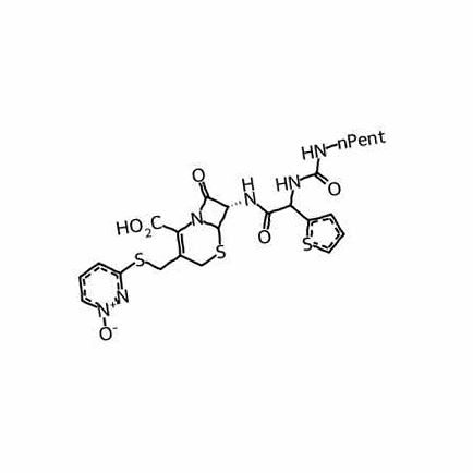 CCCCCNC(=O)NC(C(=O)N[C@H]1C(=O)N2C(C(=O)O)=C(CSc3ccc[n+]([O-])n3)CSC12)c1cccs1